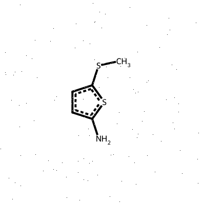 CSc1ccc(N)s1